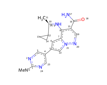 CNc1ncc(-c2cc3c(N[C@H](C)C4CC4)c(C(N)=O)cnn3c2)cn1